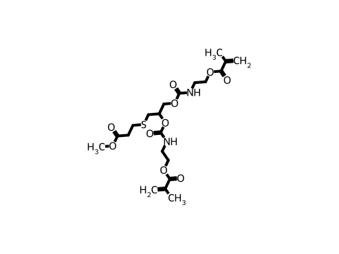 C=C(C)C(=O)OCCNC(=O)OCC(CSCCC(=O)OC)OC(=O)NCCOC(=O)C(=C)C